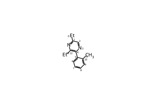 CCc1cnc(-c2ccccc2C)c(CC)n1